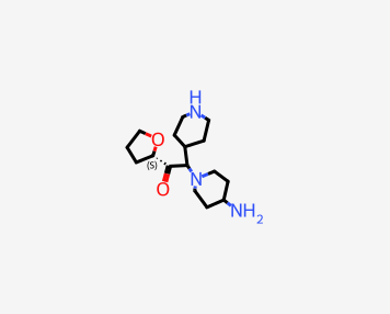 NC1CCN(C(C(=O)[C@@H]2CCCO2)C2CCNCC2)CC1